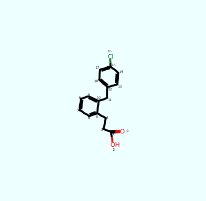 O=C(O)CCc1ccccc1Cc1ccc(Cl)cc1